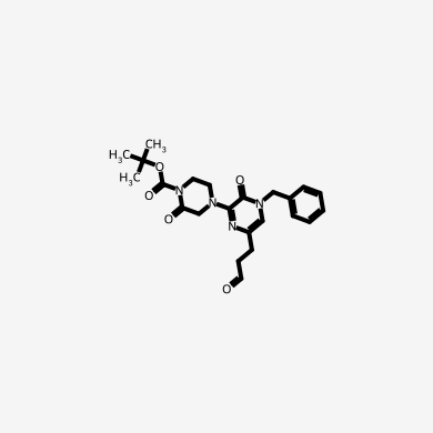 CC(C)(C)OC(=O)N1CCN(c2nc(CCC=O)cn(Cc3ccccc3)c2=O)CC1=O